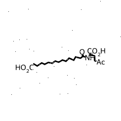 CC(=O)CC[C@@H](NC(=O)CCCCCCCCCCCCCCC(=O)O)C(=O)O